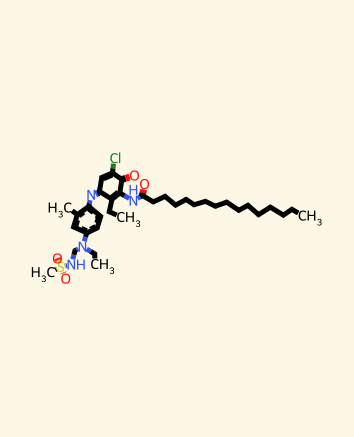 CCCCCCCCCCCCCCCC(=O)NC1=C(CC)/C(=N\c2ccc(N(CC)CNS(C)(=O)=O)cc2C)C=C(Cl)C1=O